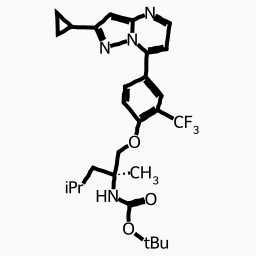 CC(C)C[C@@](C)(COc1ccc(-c2ccnc3cc(C4CC4)nn23)cc1C(F)(F)F)NC(=O)OC(C)(C)C